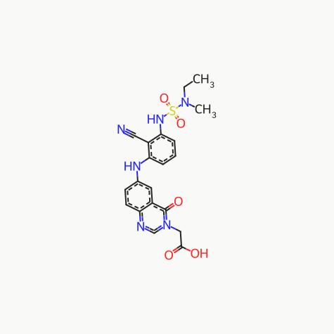 CCN(C)S(=O)(=O)Nc1cccc(Nc2ccc3ncn(CC(=O)O)c(=O)c3c2)c1C#N